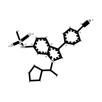 CC(C1CCCC1)n1cc(-c2ccc(C#N)cc2)c2ccc(NS(C)(=O)=O)cc21